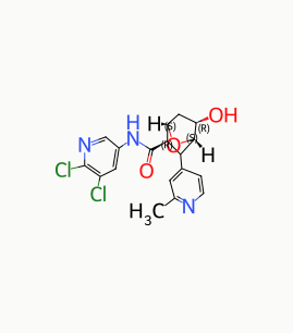 Cc1cc(C2[C@@H](C(=O)Nc3cnc(Cl)c(Cl)c3)[C@@H]3C[C@@H](O)[C@H]2O3)ccn1